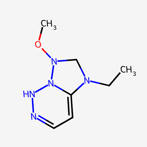 CCN1CN(OC)N2NN=CC=C12